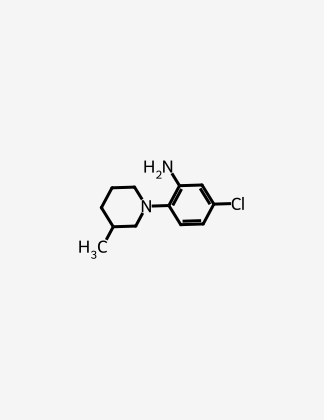 CC1CCCN(c2ccc(Cl)cc2N)C1